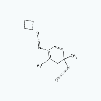 C1CCC1.CC1=C(N=C=O)C=CC(C)(N=C=O)C1